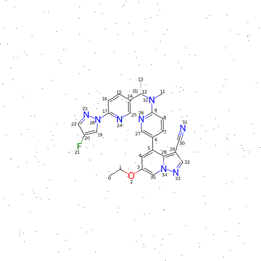 CCOc1cc(-c2ccc(N(C)[C@@H](C)c3ccc(-n4cc(F)cn4)nc3)nc2)c2c(C#N)cnn2c1